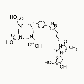 Cc1cn(C2CC(O)[C@@H](CO)S2)c(=O)n(CCCCn2cc(-c3ccc(CN4CCN(CC(=O)O)CCN(CC(=O)O)CCN(CC(=O)O)CC4)cc3)nn2)c1=O